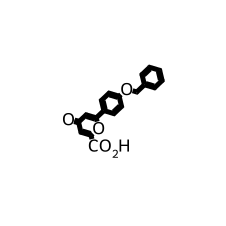 O=C(O)c1cc(=O)cc(-c2ccc(OCc3ccccc3)cc2)o1